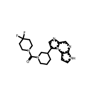 O=C(N1CCC(F)(F)CC1)N1CCCC(c2cnc3cnc4[nH]ccc4n23)C1